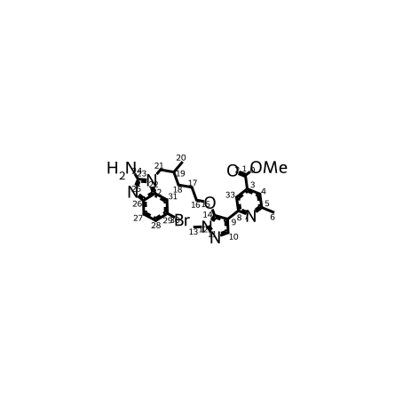 COC(=O)c1cc(C)nc(-c2cnn(C)c2OCCCC(C)Cn2c(N)nc3ccc(Br)cc32)c1